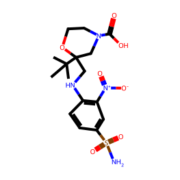 CC(C)(C)C1(CNc2ccc(S(N)(=O)=O)cc2[N+](=O)[O-])CN(C(=O)O)CCO1